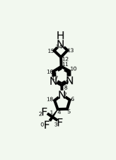 FC(F)(F)[C@@H]1CCN(c2ncc(C3CNC3)cn2)C1